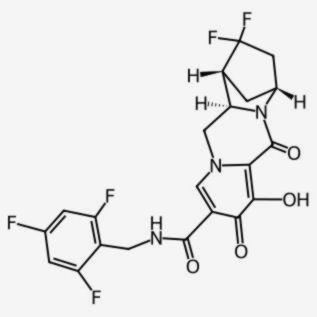 O=C(NCc1c(F)cc(F)cc1F)c1cn2c(c(O)c1=O)C(=O)N1[C@@H]3C[C@H]([C@@H]1C2)C(F)(F)C3